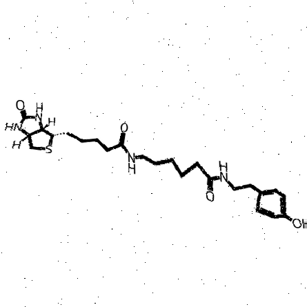 O=C(CCCC[C@@H]1SC[C@@H]2NC(=O)N[C@@H]21)NCCCCCC(=O)NCCc1ccc(O)cc1